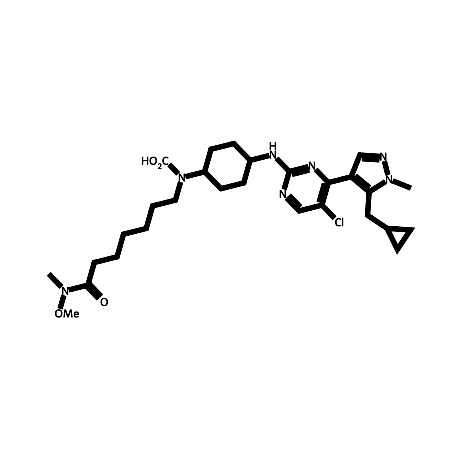 CON(C)C(=O)CCCCCCN(C(=O)O)C1CCC(Nc2ncc(Cl)c(-c3cnn(C)c3CC3CC3)n2)CC1